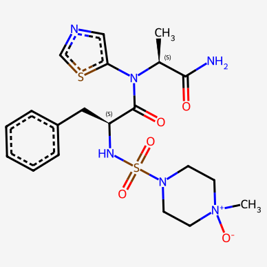 C[C@@H](C(N)=O)N(C(=O)[C@H](Cc1ccccc1)NS(=O)(=O)N1CC[N+](C)([O-])CC1)c1cncs1